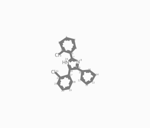 Clc1ccccc1-c1nc(-c2ccccc2)c(-c2ccccc2Cl)[nH]1